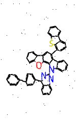 c1ccc(-c2ccc(-c3nc(-n4c5ccccc5c5c(-c6cccc7c6sc6ccccc67)cc6c7ccccc7oc6c54)nc4ccccc34)cc2)cc1